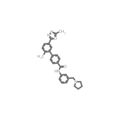 Cc1nnc(-c2ccc(C)c(-c3ccc(C(=O)Nc4cccc(CN5CCCC5)c4)cc3)c2)o1